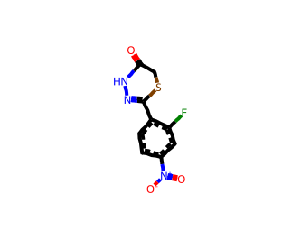 O=C1CSC(c2ccc([N+](=O)[O-])cc2F)=NN1